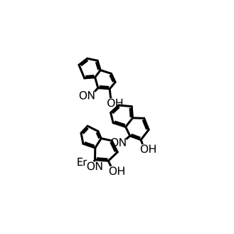 O=Nc1c(O)ccc2ccccc12.O=Nc1c(O)ccc2ccccc12.O=Nc1c(O)ccc2ccccc12.[Er]